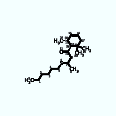 CCCCCCSC(C)CC(=O)[C@H]1[C@H](C)C=CCC1(C)C